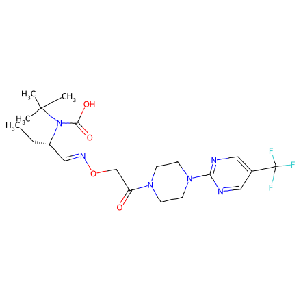 CC[C@@H](/C=N/OCC(=O)N1CCN(c2ncc(C(F)(F)F)cn2)CC1)N(C(=O)O)C(C)(C)C